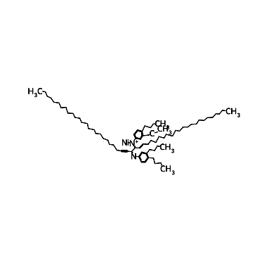 CCCCCCCCCCCCCCCCCCCCCC=CC(C(C#CCCCCCCCCCCCCCCCCCCCCCCC)=Nc1ccc(CCCC)c(CCCC)c1)=[N+]([Ni])c1ccc(CCCC)c(CCCC)c1